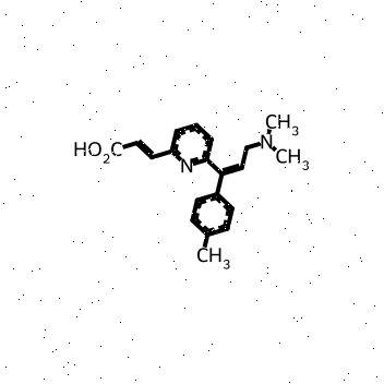 Cc1ccc(C(=CCN(C)C)c2cccc(C=CC(=O)O)n2)cc1